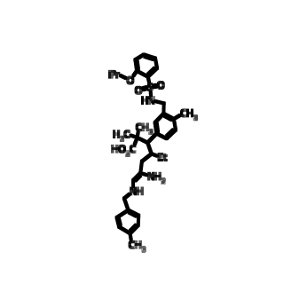 CCC(C/C(N)=C/NCc1ccc(C)cc1)C(c1ccc(C)c(CNS(=O)(=O)c2ccccc2OC(C)C)c1)C(C)(C)C(=O)O